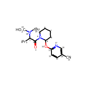 CC(C)C(C(=O)N1CCCCC1Oc1ccc(C#N)cn1)N(C(=O)O)C(C)(C)C